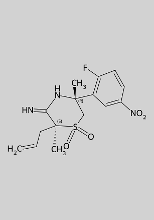 C=CC[C@@]1(C)C(=N)N[C@](C)(c2cc([N+](=O)[O-])ccc2F)CS1(=O)=O